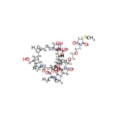 CSC1CC(=O)N(CCOCCOCCN2C(=O)CC(CC(=O)N(C)[C@@H](C)C(=O)O[C@H]3CC(=O)N(C)c4cc(cc(CO)c4Cl)C/C(C)=C/C=C/[C@@H](CO)[C@@]4(O)C[C@H](OC(=O)N4)[C@@H](C)[C@@H]4O[C@@]34C)C2=O)C1=O